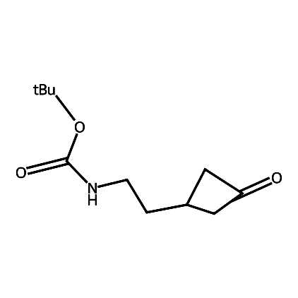 CC(C)(C)OC(=O)NCCC1CC(=O)C1